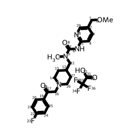 COCc1ccc(NC(=O)N(C)CC2CCN(CC(=O)c3ccc(F)cc3)CC2)nc1.O=C(O)C(F)(F)F